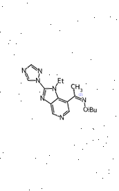 CCn1c(-n2cncn2)nc2cncc(/C(C)=N\OCC(C)C)c21